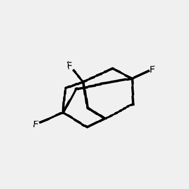 FC12CC3CC(F)(C1)CC(F)(C3)C2